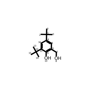 CC(C)(C)c1cc(CO)c(O)c(C(C)(C)C)c1